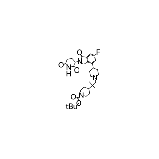 CC(C)(C)OC(=O)N1CCC(C(C)(C)CN2CCC(c3cc(F)cc4c3CN(C3CCC(=O)NC3=O)C4=O)CC2)CC1